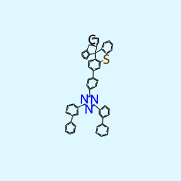 c1ccc(-c2cccc(-c3nc(-c4ccc(-c5ccc6c(c5)Sc5ccccc5C65c6ccccc6-c6ccccc65)cc4)nc(-c4cccc(-c5ccccc5)c4)n3)c2)cc1